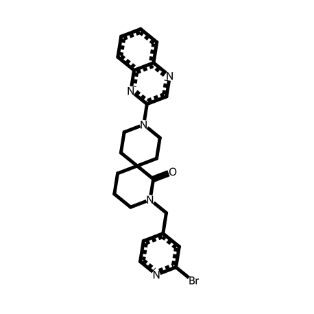 O=C1N(Cc2ccnc(Br)c2)CCCC12CCN(c1cnc3ccccc3n1)CC2